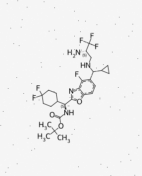 CC(C)(C)OC(=O)N[C@H](c1nc2c(F)c(C(NC[C@H](N)C(F)(F)F)C3CC3)ccc2o1)C1CCC(F)(F)CC1